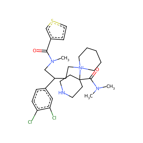 CN(C)C(=O)C1([N+]2(CCC(CN(C)C(=O)c3ccsc3)c3ccc(Cl)c(Cl)c3)CCCCC2)CCNCC1